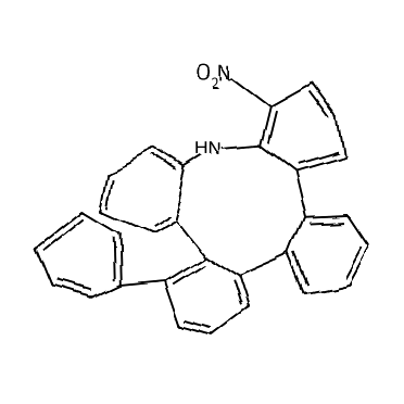 O=[N+]([O-])c1cccc2c1[nH]c1ccccc1c1c(-c3ccccc3)cccc1c1ccccc21